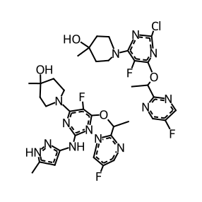 CC(Oc1nc(Cl)nc(N2CCC(C)(O)CC2)c1F)c1ncc(F)cn1.Cc1cc(Nc2nc(OC(C)c3ncc(F)cn3)c(F)c(N3CCC(C)(O)CC3)n2)n[nH]1